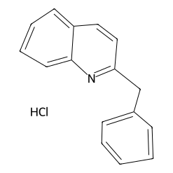 Cl.c1ccc(Cc2ccc3ccccc3n2)cc1